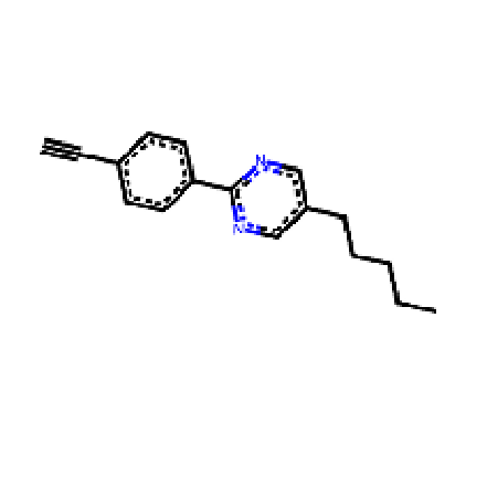 C#Cc1ccc(-c2ncc(CCCCC)cn2)cc1